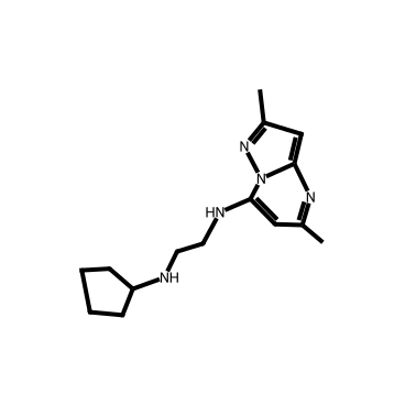 Cc1cc(NCCNC2CCCC2)n2nc(C)cc2n1